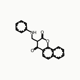 O=C1Oc2c(ccc3ccccc23)C(=O)C1CNc1ccccc1